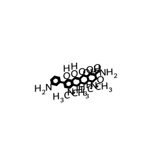 CN(C)c1cc(-c2cccc(N)c2)c(O)c2c1C[C@H]1C[C@H]3[C@H](N(C)C)C(=O)C(C(N)=O)=C(O)[C@@]3(O)C(=O)C1=C2O